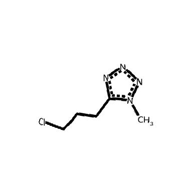 Cn1nnnc1CCCCl